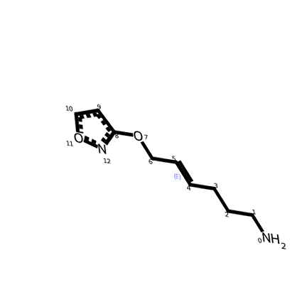 NCCC/C=C/COc1ccon1